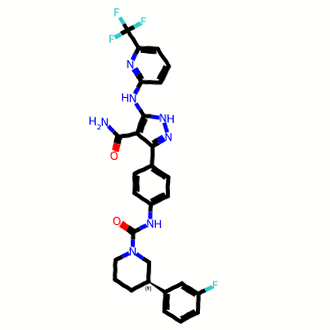 NC(=O)c1c(-c2ccc(NC(=O)N3CCC[C@H](c4cccc(F)c4)C3)cc2)n[nH]c1Nc1cccc(C(F)(F)F)n1